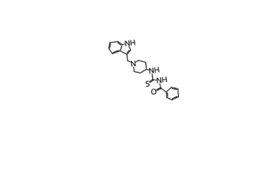 O=C(NC(=S)NC1CCN(Cc2c[nH]c3ccccc23)CC1)c1ccccc1